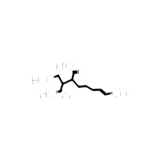 CC=CCCCC(C(=O)O)C(CC)C(=O)O